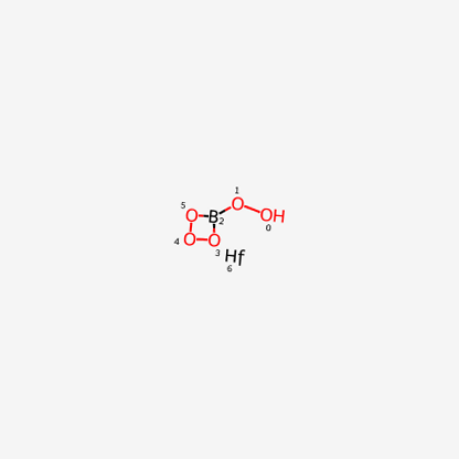 OOB1OOO1.[Hf]